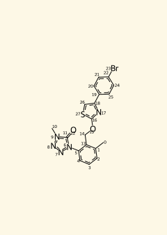 Cc1cccc(-n2nnn(C)c2=O)c1COc1nc(-c2ccc(Br)cc2)cs1